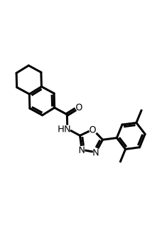 Cc1ccc(C)c(-c2nnc(NC(=O)c3ccc4c(c3)CCCC4)o2)c1